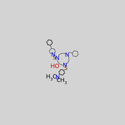 CN(C)c1ccc(SN2CCCN(CC3CCCCC3)CCCN(SN3CCC(c4ccccc4)CC3)CC(O)C2)cc1